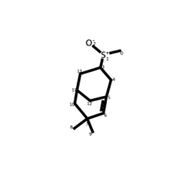 C[S+]([O-])C1CC2=CC(C)(C)CC(C2)C1